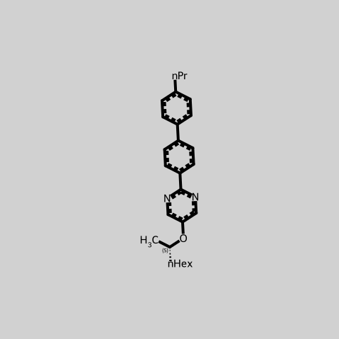 CCCCCC[C@H](C)Oc1cnc(-c2ccc(-c3ccc(CCC)cc3)cc2)nc1